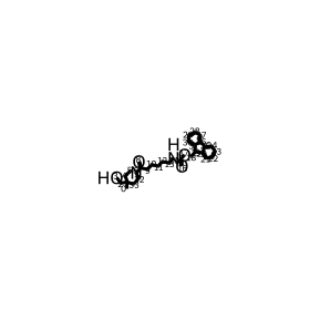 CC1(CO)CCN(C(=O)CCCCCNC(=O)OCC2c3ccccc3-c3ccccc32)CC1